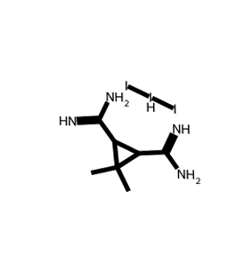 CC1(C)C(C(=N)N)C1C(=N)N.I[IH]I